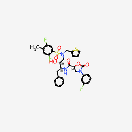 Cc1cc(F)c(S(=O)(=O)N(Cc2cccs2)C[C@@H](O)[C@H](Cc2ccccc2)NC(=O)[C@@H]2CN(c3cccc(F)c3)C(=O)O2)cc1F